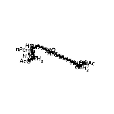 CCCCCC(OC(=O)C[N+](C)(C)CCOC(C)=O)C(O)C/C=C\CCCCCCCC(=O)NCCCCCCCCCCCCNC(=O)[N+](C)(C)CCOC(C)=O